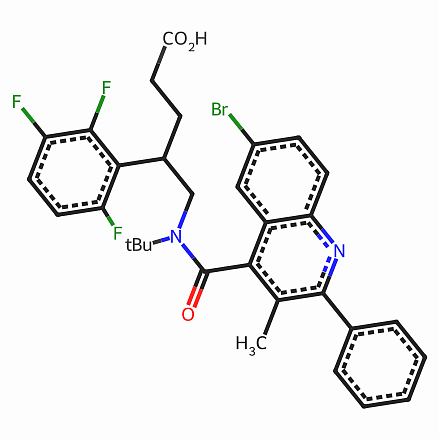 Cc1c(-c2ccccc2)nc2ccc(Br)cc2c1C(=O)N(CC(CCC(=O)O)c1c(F)ccc(F)c1F)C(C)(C)C